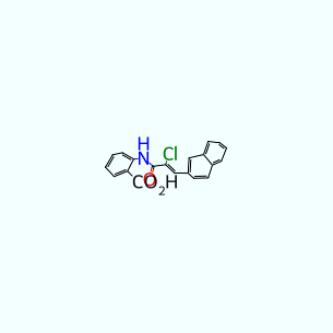 O=C(Nc1ccccc1C(=O)O)C(Cl)=Cc1ccc2ccccc2c1